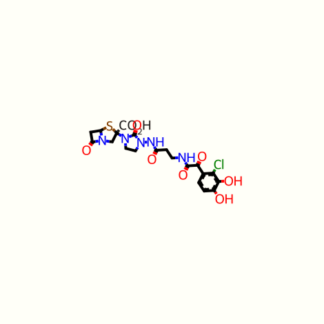 O=C(CCNC(=O)C(=O)c1ccc(O)c(O)c1Cl)NN1CCN(C2(C(=O)O)CN3C(=O)CC3S2)C1=O